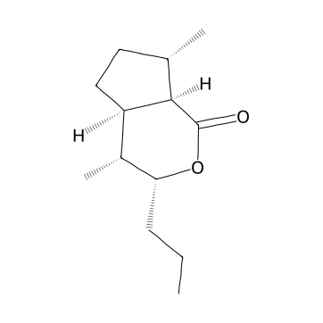 CCC[C@H]1OC(=O)[C@H]2[C@H](CC[C@@H]2C)[C@H]1C